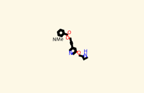 CNc1ccccc1C(=O)OCC#Cc1cncc(OCC2CCN2)c1